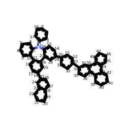 c1ccc(N2c3ccccc3-c3ccc(-c4ccc5ccccc5c4)cc3-c3cc(-c4ccc(-c5ccc6c7ccccc7c7ccccc7c6c5)cc4)ccc32)cc1